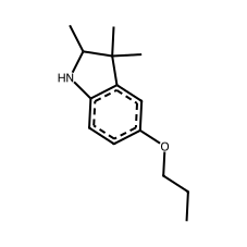 CCCOc1ccc2c(c1)C(C)(C)C(C)N2